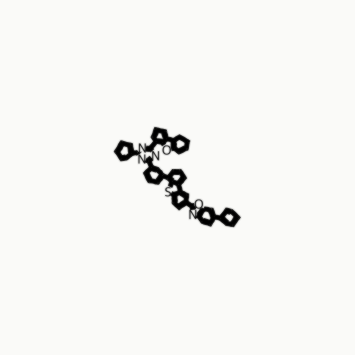 C1=Cc2oc3c(-c4nc(-c5ccccc5)nc(-c5cccc(-c6cccc7c6sc6ccc(-c8nc9ccc(-c%10ccccc%10)cc9o8)cc67)c5)n4)cccc3c2CC1